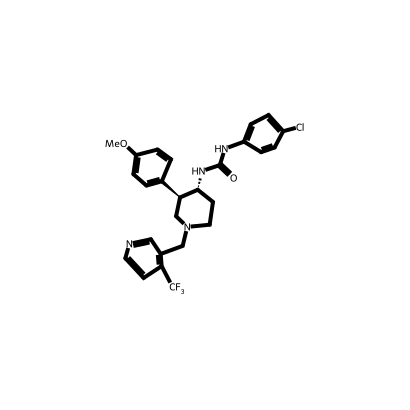 COc1ccc([C@@H]2CN(Cc3cnccc3C(F)(F)F)CC[C@H]2NC(=O)Nc2ccc(Cl)cc2)cc1